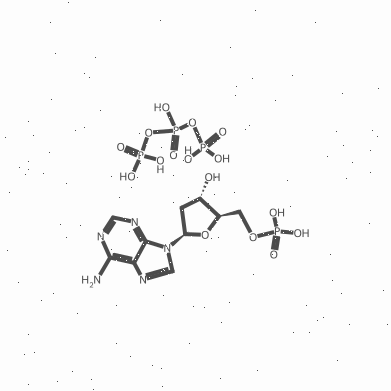 Nc1ncnc2c1ncn2[C@H]1C[C@H](O)[C@@H](COP(=O)(O)O)O1.O=P(O)(O)OP(=O)(O)OP(=O)(O)O